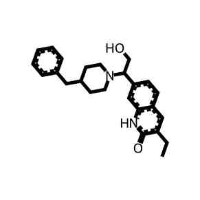 CCc1cc2ccc(C(CO)N3CCC(Cc4ccccc4)CC3)cc2[nH]c1=O